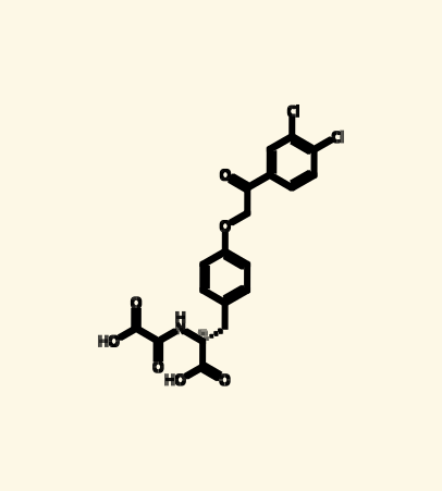 O=C(O)C(=O)N[C@H](Cc1ccc(OCC(=O)c2ccc(Cl)c(Cl)c2)cc1)C(=O)O